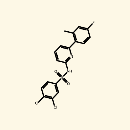 Cc1cc(F)ccc1-c1cccc(NS(=O)(=O)c2ccc(Cl)c(Cl)c2)n1